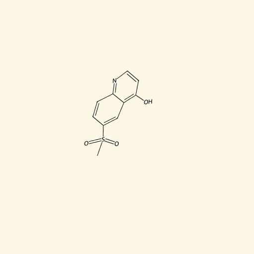 CS(=O)(=O)c1ccc2nccc(O)c2c1